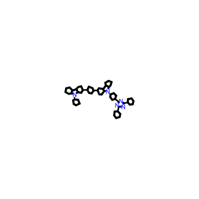 c1ccc(-c2nc(-c3ccccc3)nc(-c3ccc(-n4c5ccccc5c5cc(-c6ccc(-c7ccc8c9ccccc9n(-c9ccccc9)c8c7)cc6)ccc54)cc3)n2)cc1